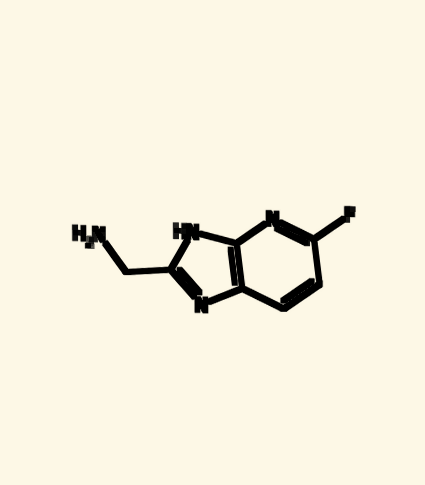 NCc1nc2ccc(F)nc2[nH]1